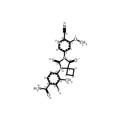 COc1cc(N2C(=O)C3(CCC3)N(c3ccc(C(N)=O)c(F)c3C)C2=S)cnc1C#N